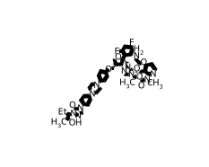 CCC([C@H](C)O)n1ncn(-c2ccc(N3CCN(c4ccc(OC[C@@H]5CO[C@@](Cn6c[n+](C(C)OC(=O)N(C)c7ncccc7COC(=O)CN)cn6)(c6ccc(F)cc6F)C5)cc4)CC3)cc2)c1=O